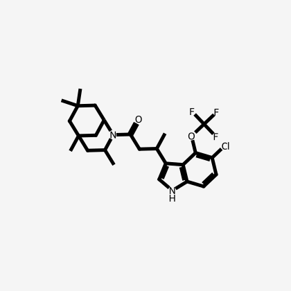 CC(CC(=O)N1C(C)CC2(C)CC1CC(C)(C)C2)c1c[nH]c2ccc(Cl)c(OC(F)(F)F)c12